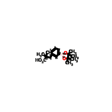 CC(C)(Cc1cccc(B2OC(C)(C)C(C)(C)O2)c1)C(=O)O